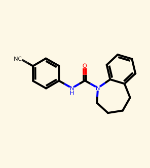 N#Cc1ccc(NC(=O)N2CCCCc3ccccc32)cc1